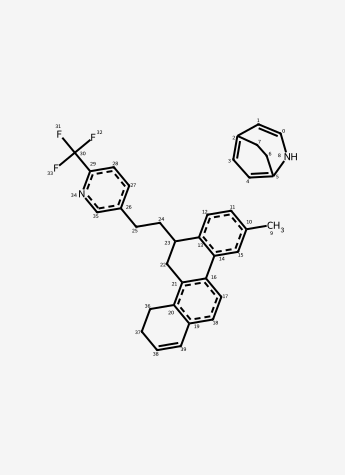 C1=CC2=CC=C(CC2)N1.Cc1ccc2c(c1)-c1ccc3c(c1CC2CCc1ccc(C(F)(F)F)nc1)CCC=C3